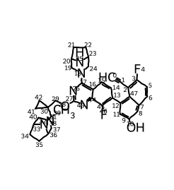 C#Cc1c(F)ccc2cc(O)cc(-c3ccc4c(N5CC6CCC(C5)N6)nc(OCC5(CN6C7CCC6CN(C)C7)CC5)nc4c3F)c12